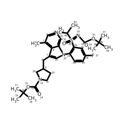 Cc1cncc2c1c(CC1CCN(C(=O)OC(C)(C)C)C1)cn2-c1ccc(F)cc1S(=O)(=NC(=O)OC(C)(C)C)C(C)C